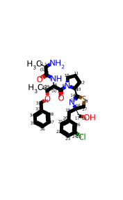 C[C@H](N)C(=O)N[C@H](C(=O)N1CCC[C@H]1C1=N[C@](CO)(Cc2cccc(Cl)c2)CS1)[C@@H](C)OCc1ccccc1